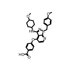 COc1ccc(Cn2nc(NC3CCC(OC)CC3)c3c(Oc4ccc(C(=O)O)cc4)ccnc32)cc1